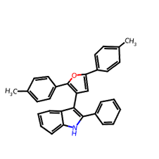 Cc1ccc(-c2cc(-c3c(-c4ccccc4)[nH]c4ccccc34)c(-c3ccc(C)cc3)o2)cc1